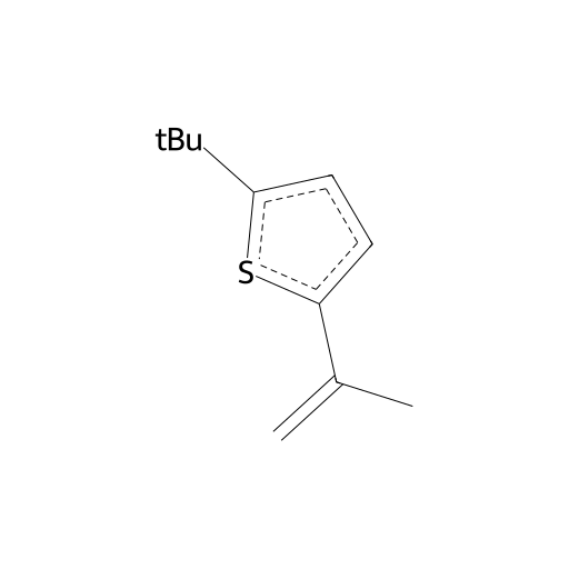 C=C(C)c1ccc(C(C)(C)C)s1